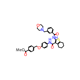 COC(=O)c1ccc(COc2ccc(NC(=O)c3c(NC(=O)c4cccc(CN5CCOCC5)c4)sc4c3CCCC4)cc2)cc1